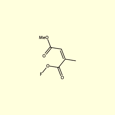 COC(=O)/C=C(/C)C(=O)OF